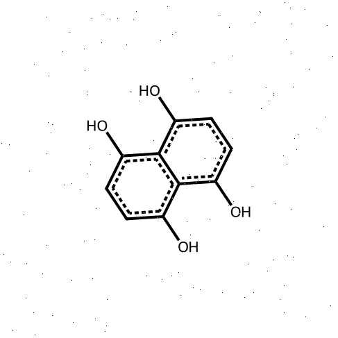 Oc1ccc(O)c2c(O)ccc(O)c12